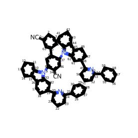 N#Cc1cccc(-c2cc(-n3c4ccccc4c4ccc(-c5cccc(-c6ccccc6)n5)cc43)c(C#N)cc2-n2c3ccccc3c3ccc(-c4cccc(-c5ccccc5)n4)cc32)c1